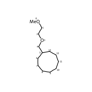 COCCOC[C]1CCCCCCCC1